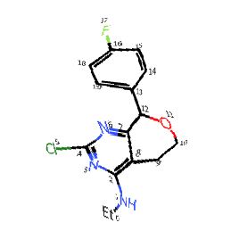 CCNc1nc(Cl)nc2c1CCOC2c1ccc(F)cc1